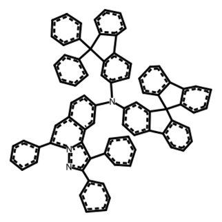 c1ccc(-c2nn3c(-c4ccccc4)cc4ccc(N(c5ccc6c(c5)C(c5ccccc5)(c5ccccc5)c5ccccc5-6)c5ccc6c(c5)C5(c7ccccc7-c7ccccc75)c5ccccc5-6)cc4c3c2-c2ccccc2)cc1